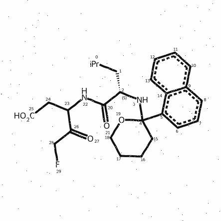 CC(C)C[C@H](NC1(c2cccc3ccccc23)CCCCO1)C(=O)NC(CC(=O)O)C(=O)CF